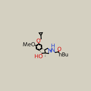 CCCCC(=O)CNN1C[C@@H](c2ccc(OC)c(OCC3CC3)c2)[C@](C)([C@@H](C)O)C1